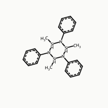 C[SiH]1N(c2ccccc2)[SiH](C)N(c2ccccc2)[SiH](C)N1c1ccccc1